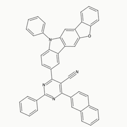 N#Cc1c(-c2ccc3ccccc3c2)nc(-c2ccccc2)nc1-c1ccc2c(c1)c1cc3oc4ccccc4c3cc1n2-c1ccccc1